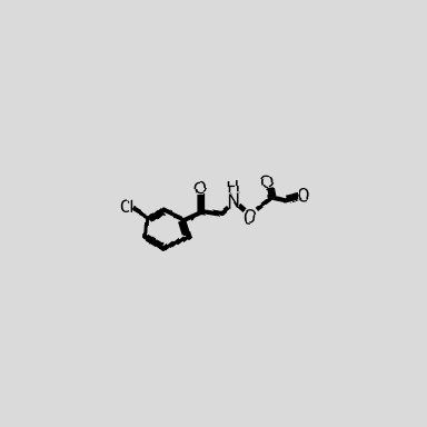 O=CC(=O)ONCC(=O)c1cccc(Cl)c1